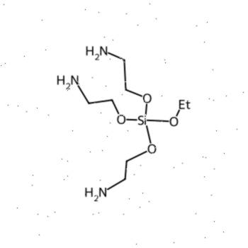 CCO[Si](OCCN)(OCCN)OCCN